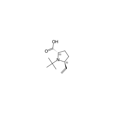 C=C[C@@H]1CC[C@@H](C(=O)O)N1C(C)(C)C